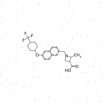 CC1C(C(=O)O)CN1Cc1ccc2cc(OC3CCC(C(F)(F)F)CC3)ccc2c1